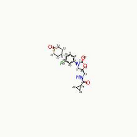 O=C(NC[C@H]1CN(c2ccc([C@H]3CC[S@@+]([O-])CC3)c(F)c2)C(=O)O1)C1CC1